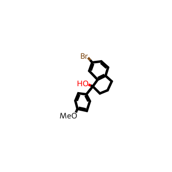 COc1ccc(C2(O)CCCc3ccc(Br)cc32)cc1